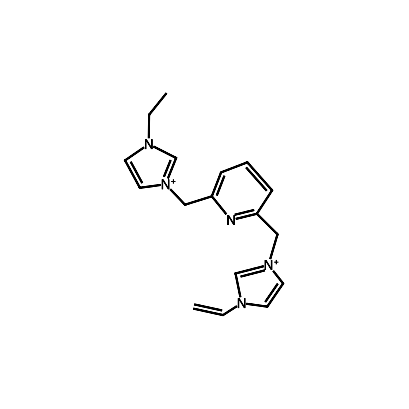 C=Cn1cc[n+](Cc2cccc(C[n+]3ccn(CC)c3)n2)c1